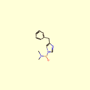 CN(C)[S+]([O-])n1cnc(Cc2ccccc2)c1